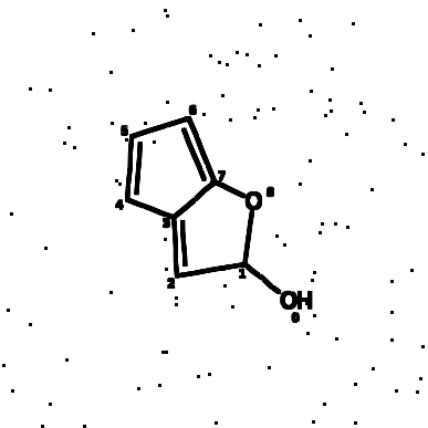 OC1C=C2C=CC=C2O1